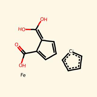 O=C(O)C1=CC=CC1=C(O)O.[Fe].c1cc[cH-]c1